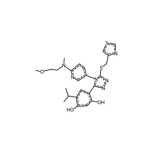 COCCN(C)c1ccc(-n2c(SCc3cscn3)nnc2-c2cc(C(C)C)c(O)cc2O)cn1